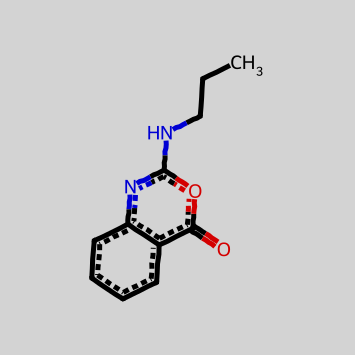 CCCNc1nc2ccccc2c(=O)o1